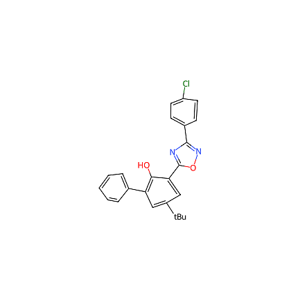 CC(C)(C)c1cc(-c2ccccc2)c(O)c(-c2nc(-c3ccc(Cl)cc3)no2)c1